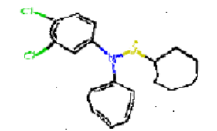 Clc1ccc(N(SC2CCCCC2)c2ccccc2)cc1Cl